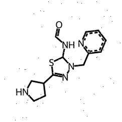 O=CNC1SC(C2CCNC2)=NN1Cc1ccccn1